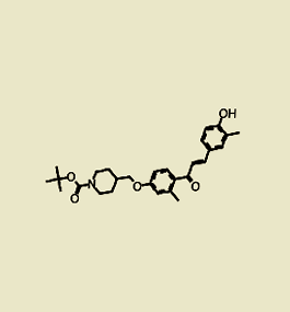 Cc1cc(C=CC(=O)c2ccc(OCC3CCN(C(=O)OC(C)(C)C)CC3)cc2C)ccc1O